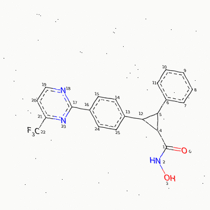 O=C(NO)C1C(c2ccccc2)C1c1ccc(-c2nccc(C(F)(F)F)n2)cc1